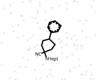 CCCCCCCC1(C#N)CCC(c2ccccc2)CC1